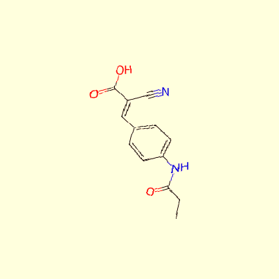 CCC(=O)Nc1ccc(/C=C(\C#N)C(=O)O)cc1